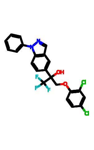 OC(COc1ccc(Cl)cc1Cl)(c1ccc2c(cnn2-c2ccccc2)c1)C(F)(F)F